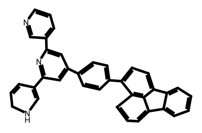 C1=CC(c2cc(-c3ccc(-c4ccc5c6c(cccc46)-c4ccccc4-5)cc3)cc(-c3cccnc3)n2)=CNC1